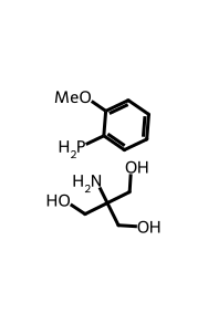 COc1ccccc1P.NC(CO)(CO)CO